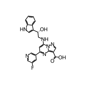 O=C(O)c1cnn2c(NC[C@@H](O)c3c[nH]c4ccccc34)cc(-c3cncc(F)c3)nc12